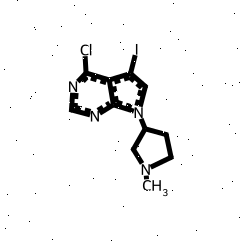 CN1CCC(n2cc(I)c3c(Cl)ncnc32)C1